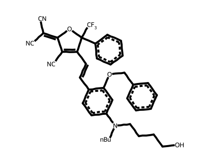 CCCCN(CCCCO)c1ccc(/C=C/C2=C(C#N)C(=C(C#N)C#N)OC2(c2ccccc2)C(F)(F)F)c(OCc2ccccc2)c1